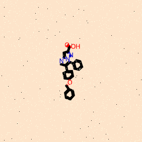 O=C(O)c1cc2ncc(-c3ccc(OCc4ccccc4)cc3)c(-c3ccccc3)n2n1